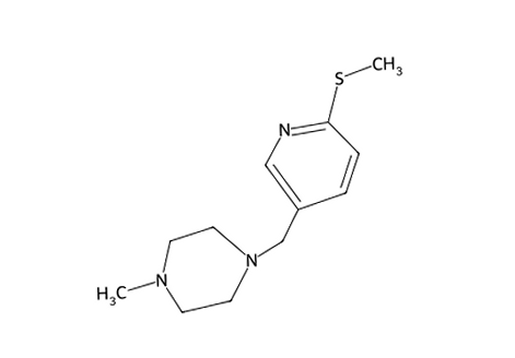 CSc1ccc(CN2CCN(C)CC2)cn1